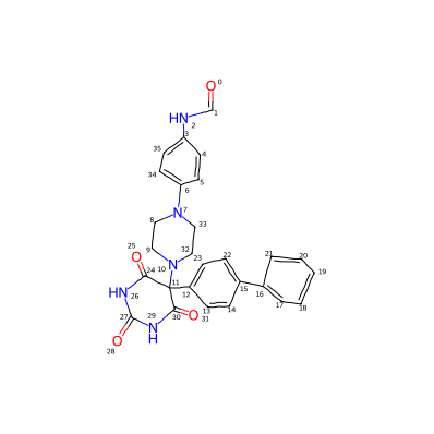 O=CNc1ccc(N2CCN(C3(c4ccc(-c5ccccc5)cc4)C(=O)NC(=O)NC3=O)CC2)cc1